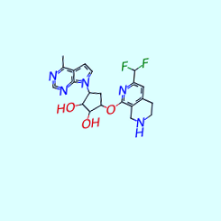 Cc1ncnc2c1ccn2C1CC(Oc2nc(C(F)F)cc3c2CNCC3)C(O)C1O